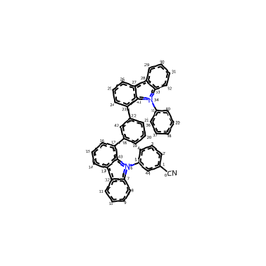 N#Cc1cccc(-n2c3ccccc3c3cccc(-c4cccc(-c5cccc6c7ccccc7n(-c7ccccc7)c56)c4)c32)c1